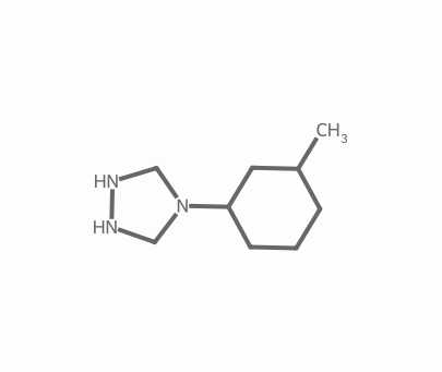 CC1CCCC(N2CNNC2)C1